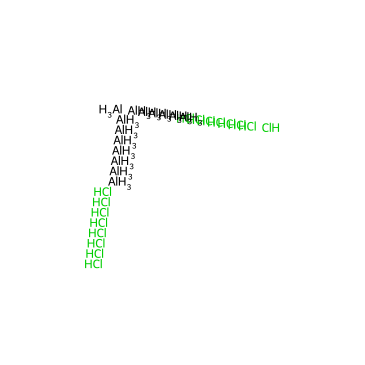 Cl.Cl.Cl.Cl.Cl.Cl.Cl.Cl.Cl.Cl.Cl.Cl.Cl.Cl.Cl.Cl.[AlH3].[AlH3].[AlH3].[AlH3].[AlH3].[AlH3].[AlH3].[AlH3].[AlH3].[AlH3].[AlH3].[AlH3].[AlH3].[AlH3]